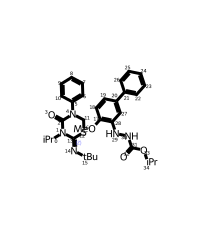 CC(C)N1C(=O)N(c2ccccc2)CS/C1=N\C(C)(C)C.COc1ccc(-c2ccccc2)cc1NNC(=O)OC(C)C